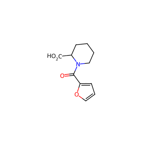 O=C(O)C1CCCCN1C(=O)c1ccco1